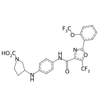 O=C(Nc1ccc(NC2CCN(C(=O)O)C2)cc1)c1nc(-c2ccccc2OC(F)(F)F)oc1C(F)(F)F